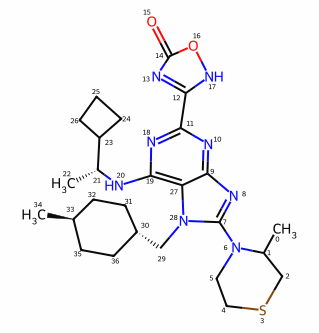 CC1CSCCN1c1nc2nc(-c3nc(=O)o[nH]3)nc(N[C@H](C)C3CCC3)c2n1C[C@H]1CC[C@H](C)CC1